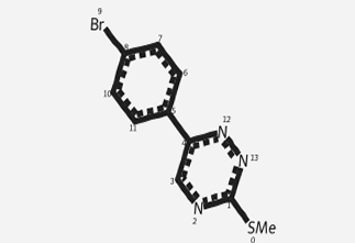 CSc1ncc(-c2ccc(Br)cc2)nn1